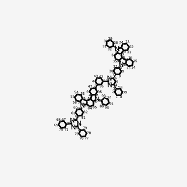 c1ccc(-c2cc(-c3ccc(-n4c5ccccc5c5c6c7ccccc7n(-c7ccccc7)c6ccc54)cc3)nc(-c3cccc(-c4ccc5c6c7c8ccccc8n(-c8ccc(-c9nc(-c%10ccccc%10)nc(-c%10ccccc%10)n9)cc8)c7ccc6n(-c6ccccc6)c5c4)c3)n2)cc1